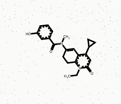 CCn1c2c(c(C3CC3)cc1=O)C=C(N(C)C(=O)c1cccc(O)c1)CC2